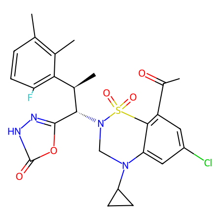 CC(=O)c1cc(Cl)cc2c1S(=O)(=O)N([C@H](c1n[nH]c(=O)o1)[C@H](C)c1c(F)ccc(C)c1C)CN2C1CC1